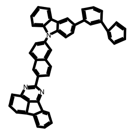 c1ccc(-c2cccc(-c3ccc4c(c3)c3ccccc3n4-c3ccc4cc(-c5nc6c7c(cccc7n5)-c5ccccc5-6)ccc4c3)c2)cc1